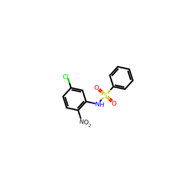 O=[N+]([O-])c1ccc(Cl)cc1NS(=O)(=O)c1ccccc1